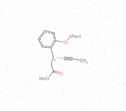 CC#C[C@H](CC(=O)OC)c1ccccc1OCCCCC